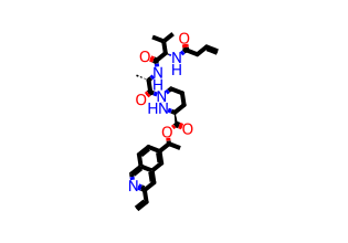 C=CCC(=O)N[C@H](C(=O)N[C@@H](C)C(=O)N1CCC[C@@H](C(=O)OC(C)c2ccc3cnc(C=C)cc3c2)N1)C(C)C